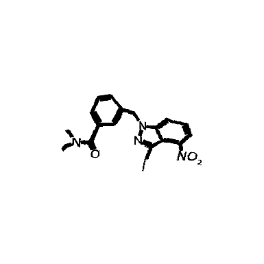 CN(C)C(=O)c1cccc(Cn2nc(I)c3c([N+](=O)[O-])cccc32)c1